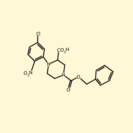 O=C(O)C1CN(C(=O)OCc2ccccc2)CCN1c1cc(Cl)ccc1[N+](=O)[O-]